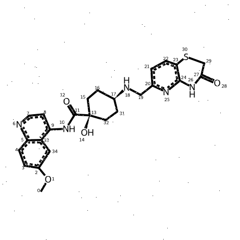 COc1ccc2nccc(NC(=O)[C@]3(O)CC[C@@H](NCc4ccc5c(n4)NC(=O)CS5)CC3)c2c1